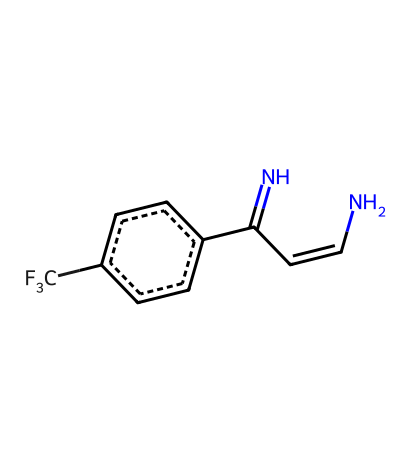 N=C(/C=C\N)c1ccc(C(F)(F)F)cc1